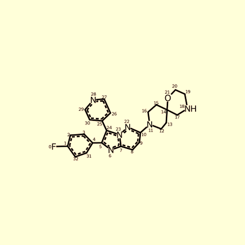 Fc1ccc(-c2nc3ccc(N4CCC5(CC4)CNCCO5)nn3c2-c2ccncc2)cc1